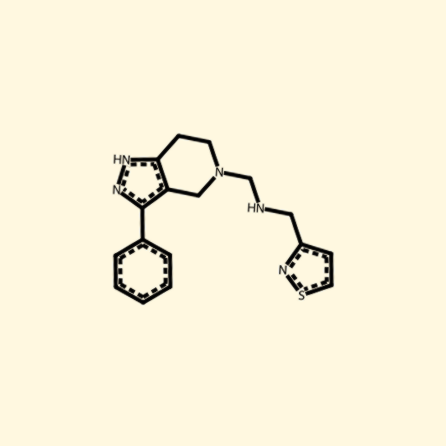 c1ccc(-c2n[nH]c3c2CN(CNCc2ccsn2)CC3)cc1